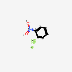 F.F.F.O=[N+]([O-])c1ccccc1